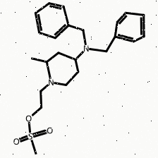 CC1CC(N(Cc2ccccc2)Cc2ccccc2)CCN1CCOS(C)(=O)=O